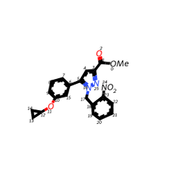 COC(=O)c1cc(-c2cccc(OC3CC3)c2)n(Cc2ccccc2[N+](=O)[O-])n1